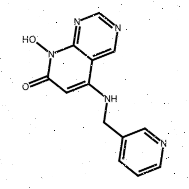 O=c1cc(NCc2cccnc2)c2cncnc2n1O